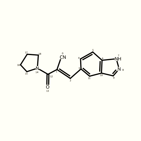 N#C/C(=C\c1ccc2[nH]ncc2c1)C(=O)N1CCCC1